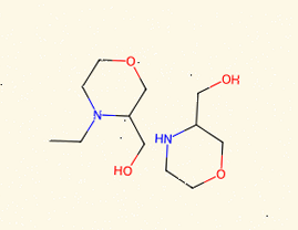 CCN1CCOCC1CO.OCC1COCCN1